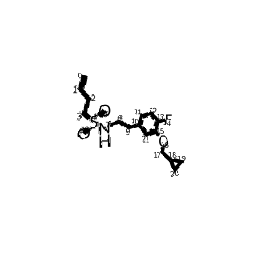 C=CCCS(=O)(=O)NCCc1ccc(F)c(OCC2CC2)c1